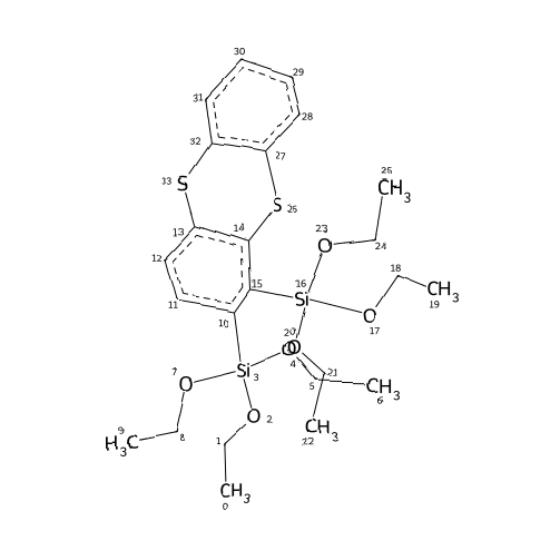 CCO[Si](OCC)(OCC)c1ccc2c(c1[Si](OCC)(OCC)OCC)Sc1ccccc1S2